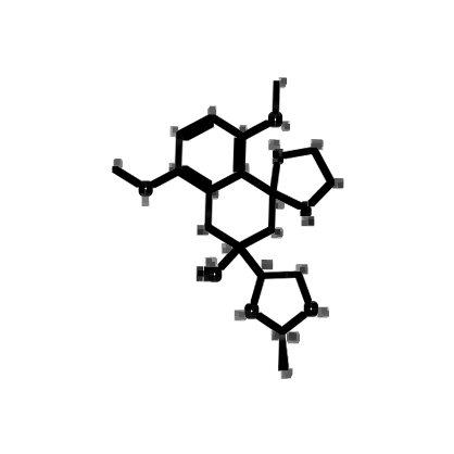 COc1ccc(OC)c2c1CC(O)(C1CO[C@@H](C)O1)CC21SCCS1